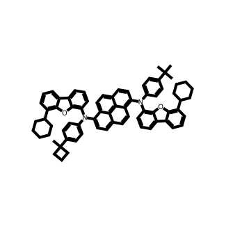 CC(C)(C)c1ccc(N(c2ccc3ccc4c(N(c5ccc(C6(C)CCC6)cc5)c5cccc6c5oc5c(C7CCCCC7)cccc56)ccc5ccc2c3c54)c2cccc3c2oc2c(C4CCCCC4)cccc23)cc1